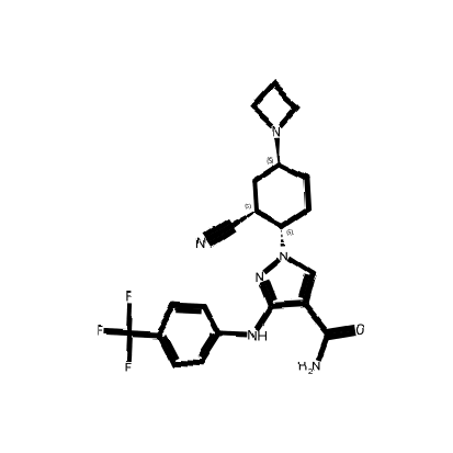 N#C[C@H]1C[C@@H](N2CCC2)CC[C@@H]1n1cc(C(N)=O)c(Nc2ccc(C(F)(F)F)cc2)n1